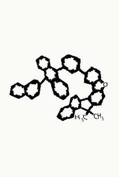 CC1(C)c2ccc3oc4ccc(-c5cccc(-c6c7ccccc7c(-c7ccc8ccccc8c7)c7ccccc67)c5)cc4c3c2-c2ccc3ccccc3c21